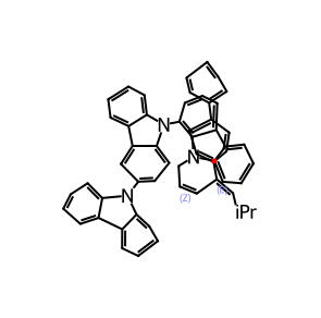 CC(C)/C=C(\C=C/Cn1c2ccccc2c2cccc(-n3c4ccccc4c4cc(-n5c6ccccc6c6ccccc65)ccc43)c21)c1ccc(-c2ccccc2)cc1